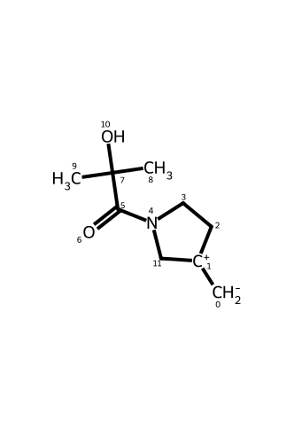 [CH2-][C+]1CCN(C(=O)C(C)(C)O)C1